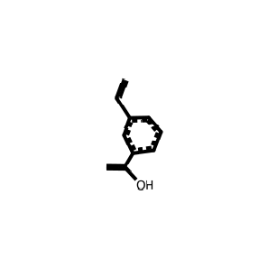 C=Cc1cccc(C(=C)O)c1